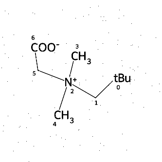 CC(C)(C)C[N+](C)(C)CC(=O)[O-]